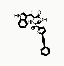 C[C@@H](c1c[nH]c2ccccc12)[C@@H](NS(=O)(=O)c1ccc(C#Cc2ccccc2)s1)C(=O)O